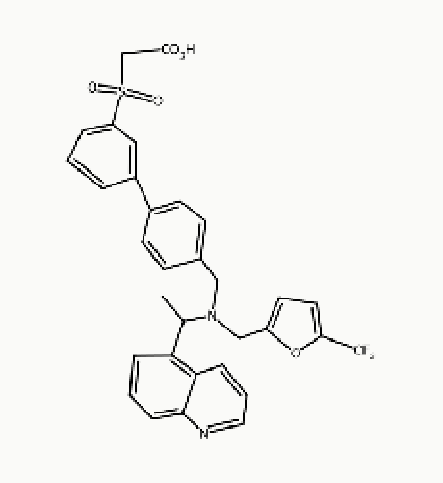 CC(c1cccc2ncccc12)N(Cc1ccc(-c2cccc(S(=O)(=O)CC(=O)O)c2)cc1)Cc1ccc(C(F)(F)F)o1